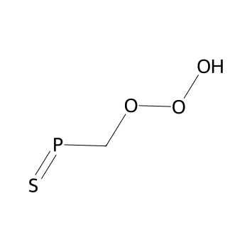 OOOCP=S